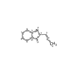 C=C=Cc1nc2ccccc2s1